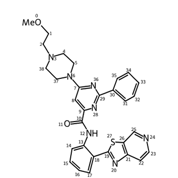 COCCN1CCN(c2cc(C(=O)Nc3ccccc3-c3nc4ccncc4s3)nc(-c3ccccc3)n2)CC1